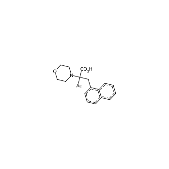 CC(=O)C(Cc1cccc2ccccc12)(C(=O)O)N1CCOCC1